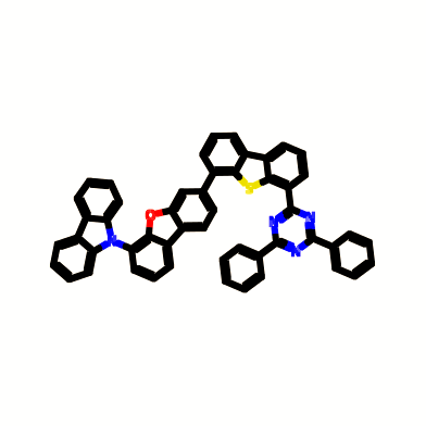 c1ccc(-c2nc(-c3ccccc3)nc(-c3cccc4c3sc3c(-c5ccc6c(c5)oc5c(-n7c8ccccc8c8ccccc87)cccc56)cccc34)n2)cc1